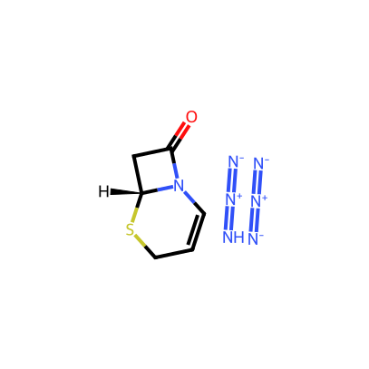 O=C1C[C@H]2SCC=CN12.[N-]=[N+]=N.[N-]=[N+]=[N-]